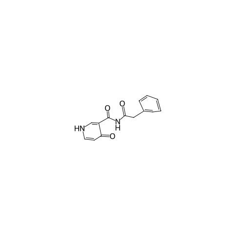 O=C(Cc1ccccc1)NC(=O)c1c[nH]ccc1=O